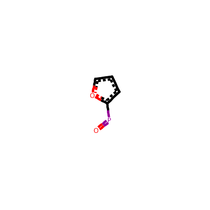 O=Pc1ccco1